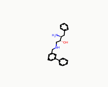 N[C@@H](Cc1ccccc1)[C@H](O)CNCc1cccc(-c2ccccc2)c1